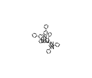 CC(C)(C)c1cc(-c2ccccc2)cc2c3cc(-c4ccccc4)ccc3n(-c3c(-c4ccccc4)cc(-c4cc(-c5ccccc5)nc(-c5ccccc5)n4)cc3-c3ccccc3)c12